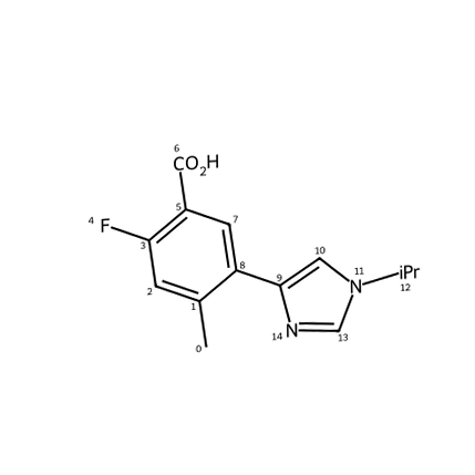 Cc1cc(F)c(C(=O)O)cc1-c1cn(C(C)C)cn1